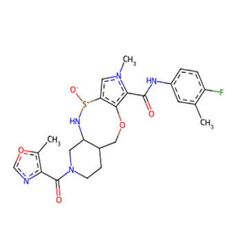 Cc1cc(NC(=O)c2c3c(cn2C)[S+]([O-])NC2CN(C(=O)c4ncoc4C)CCC2CO3)ccc1F